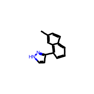 Cc1ccc2cccc(-c3cc[nH]n3)c2c1